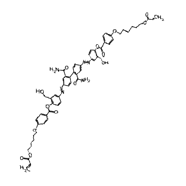 C=CC(=O)OCCCCCCOc1ccc(C(=O)Oc2ccc(N=Nc3ccc(-c4ccc(N=Nc5ccc(OC(=O)c6ccc(OCCCCCCOC(=O)C=C)cc6)c(CO)c5)cc4C(N)=O)c(C(N)=O)c3)cc2CO)cc1